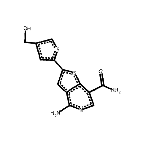 NC(=O)c1cnc(N)c2cc(-c3cc(CO)cs3)sc12